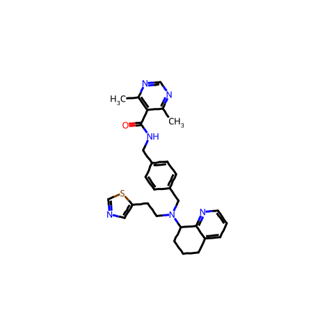 Cc1ncnc(C)c1C(=O)NCc1ccc(CN(CCc2cncs2)C2CCCc3cccnc32)cc1